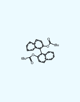 CC(C)(C)C(=O)Oc1ccc2ccccc2c1-c1c(OC(=O)C(C)(C)C)ccc2ccccc12